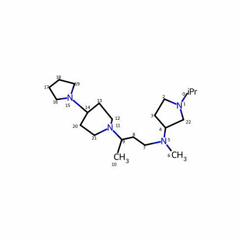 CC(C)N1CCC(N(C)CCC(C)N2CCC(N3CCCC3)CC2)C1